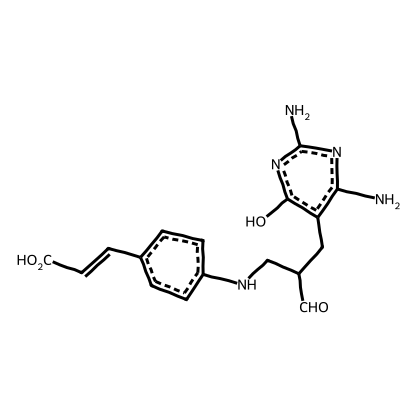 Nc1nc(N)c(CC(C=O)CNc2ccc(/C=C/C(=O)O)cc2)c(O)n1